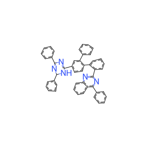 c1ccc(C2=NC(c3ccccc3)NC(c3ccc(-c4ccccc4-c4nc(-c5ccccc5)c5ccccc5n4)c(-c4ccccc4)c3)=N2)cc1